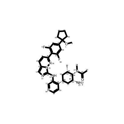 COC1(c2cc(F)c(-c3ccc4cnc(Nc5cnccc5[C@H]5C[C@@H](N)[C@@H](N(C)C(C)=O)[C@@H](C)C5)n4n3)c(F)c2)CCCC1